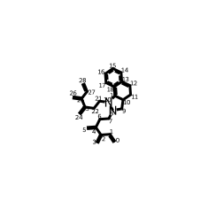 C=CC(=C)C(=C)CCN1CC2CC=c3ccccc3=C2N1CCC(=C)C(=C)C=C